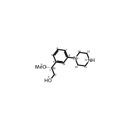 CO[C@@H](CO)c1cccc(N2CCNCC2)c1